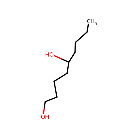 CCCCC(O)CCCCO